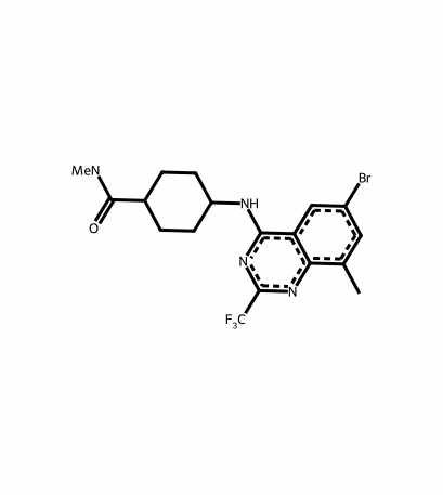 CNC(=O)C1CCC(Nc2nc(C(F)(F)F)nc3c(C)cc(Br)cc23)CC1